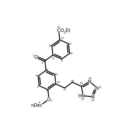 CCCCCCCCCCOc1ccc(C(=O)c2cccc(C(=O)OCC)c2)cc1CCc1nnn[nH]1